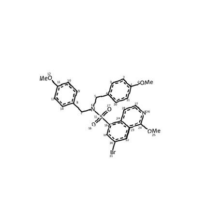 COc1ccc(CN(Cc2ccc(OC)cc2)S(=O)(=O)c2cc(Br)cc3c(OC)nccc23)cc1